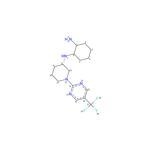 NC1CCCCC1N[C@H]1CCCN(c2ncc(C(F)(F)F)cn2)C1